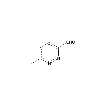 Cc1ccc(C=O)nn1